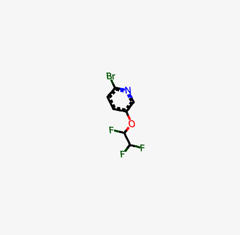 FC(F)C(F)Oc1ccc(Br)nc1